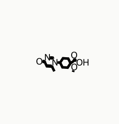 COC1(C(=O)O)CCC(n2cnc(=O)cc2C)CC1